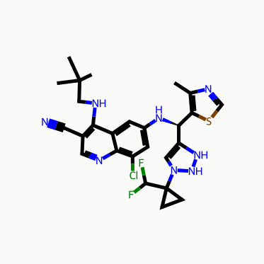 Cc1ncsc1[C@H](Nc1cc(Cl)c2ncc(C#N)c(NCC(C)(C)C)c2c1)C1=CN(C2(C(F)F)CC2)NN1